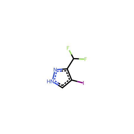 FC(F)c1n[nH]cc1I